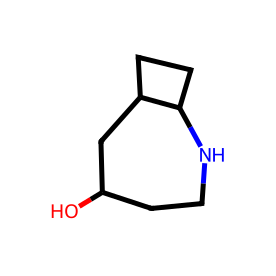 OC1CCNC2CCC2C1